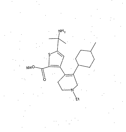 CCN1CCC(c2cc(C(C)(C)N)sc2C(=O)OC)=C(C2CCC(C)CC2)C1